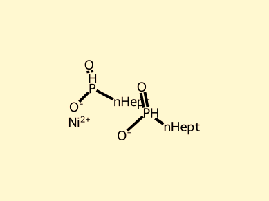 CCCCCCC[PH](=O)[O-].CCCCCCC[PH](=O)[O-].[Ni+2]